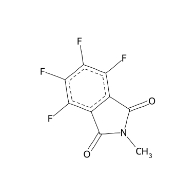 CN1C(=O)c2c(F)c(F)c(F)c(F)c2C1=O